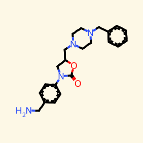 NCc1ccc(N2CC(CN3CCN(Cc4ccccc4)CC3)OC2=O)cc1